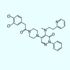 CN(CCc1ccccn1)c1c(N2CCN(C(=O)Cc3ccc(Cl)c(Cl)c3)CC2)cnn(-c2ccccc2)c1=O